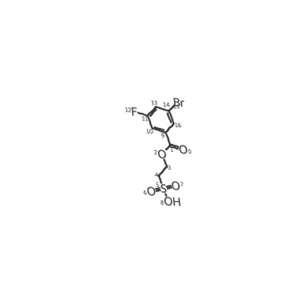 O=C(OCCS(=O)(=O)O)c1cc(F)cc(Br)c1